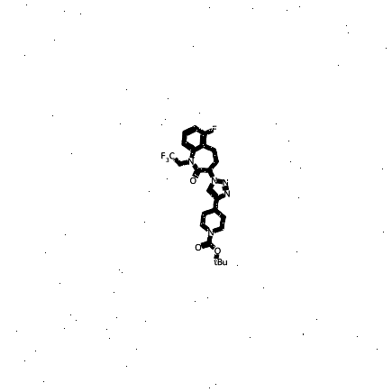 CC(C)(C)OC(=O)N1CCC(c2cn(C3CCc4c(F)cccc4N(CC(F)(F)F)C3=O)nn2)CC1